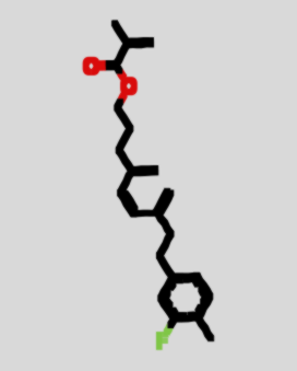 C=C(/C=C\C(=C)CCc1ccc(C)c(F)c1)CCCOC(=O)C(=C)C